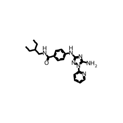 CCC(CC)CNC(=O)c1ccc(Nc2nc(N)n(-c3ccccn3)n2)cc1